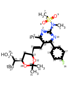 CC(C)c1nc(N(C)S(C)(=O)=O)nc(-c2ccc(F)cc2)c1C=C[C@@H]1C[C@H](C(C(=O)O)C(C)(C)C)OC(C)(C)O1